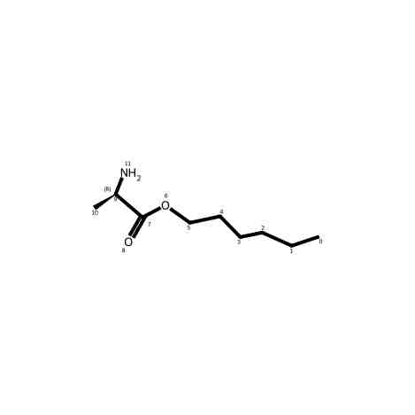 CCCCCCOC(=O)[C@@H](C)N